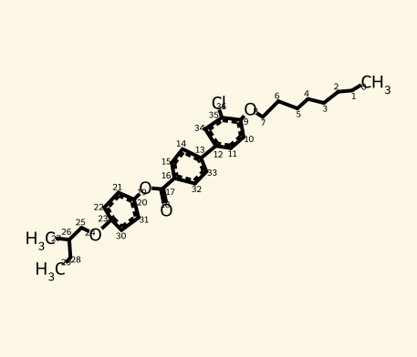 CCCCCCCCOc1ccc(-c2ccc(C(=O)Oc3ccc(OCC(C)CC)cc3)cc2)cc1Cl